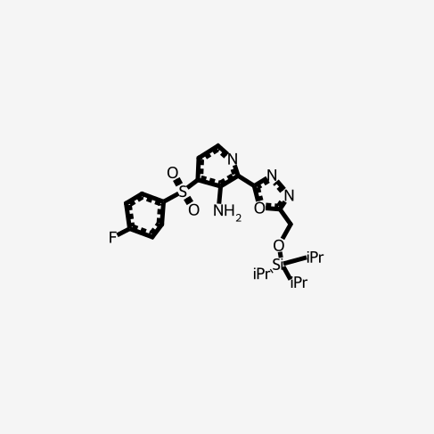 CC(C)[Si](OCc1nnc(-c2nccc(S(=O)(=O)c3ccc(F)cc3)c2N)o1)(C(C)C)C(C)C